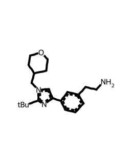 CC(C)(C)c1nc(-c2cccc(CCN)c2)cn1CC1CCOCC1